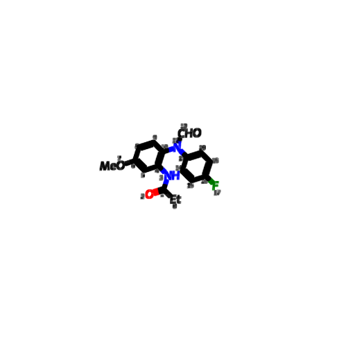 CCC(=O)Nc1cc(OC)ccc1N(C=O)c1ccc(F)cc1